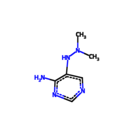 CN(C)Nc1cncnc1N